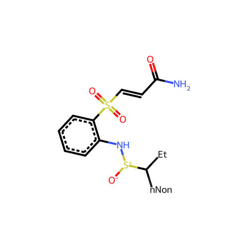 CCCCCCCCCC(CC)[S+]([O-])Nc1ccccc1S(=O)(=O)C=CC(N)=O